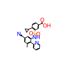 Cc1cc(C#N)cc(NS(=O)(=O)c2cc(C(=O)O)ccc2C2CC2)c1-c1ccccn1